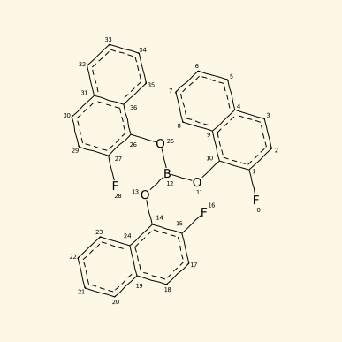 Fc1ccc2ccccc2c1OB(Oc1c(F)ccc2ccccc12)Oc1c(F)ccc2ccccc12